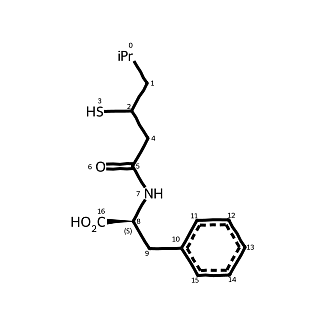 CC(C)CC(S)CC(=O)N[C@@H](Cc1ccccc1)C(=O)O